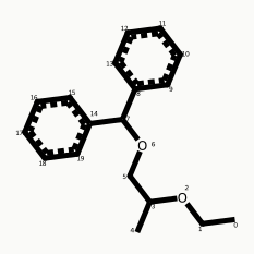 CCOC(C)COC(c1ccccc1)c1ccccc1